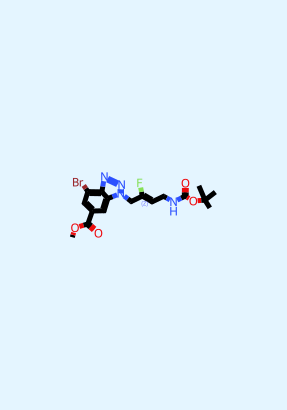 COC(=O)c1cc(Br)c2nnn(C/C(F)=C/CNC(=O)OC(C)(C)C)c2c1